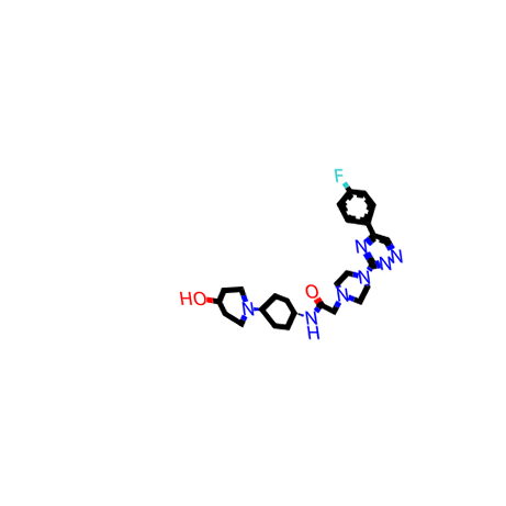 O=C(CN1CCN(c2nncc(-c3ccc(F)cc3)n2)CC1)N[C@H]1CC[C@H](N2CCC(O)CC2)CC1